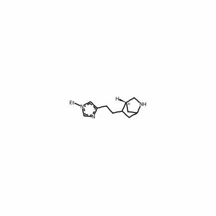 CCn1cnc(CCC2CC3C[C@H]2CN3)c1